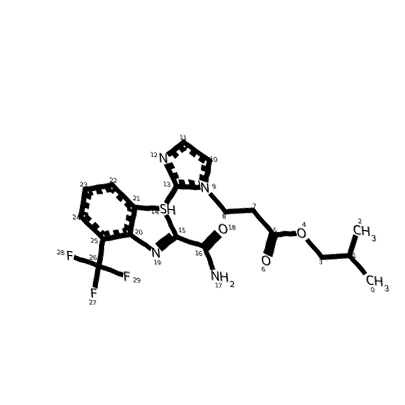 CC(C)COC(=O)CCn1ccnc1[SH]1C(C(N)=O)=Nc2c1cccc2C(F)(F)F